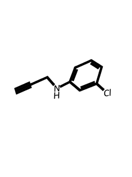 C#CCNc1cccc(Cl)c1